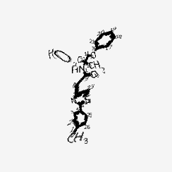 Cc1ccc(-c2nc(CC(=O)NC(C)(COc3ccccc3)C(=O)O)cs2)cc1